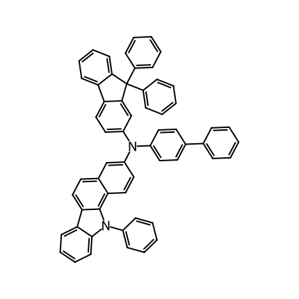 c1ccc(-c2ccc(N(c3ccc4c(c3)C(c3ccccc3)(c3ccccc3)c3ccccc3-4)c3ccc4c(ccc5c6ccccc6n(-c6ccccc6)c45)c3)cc2)cc1